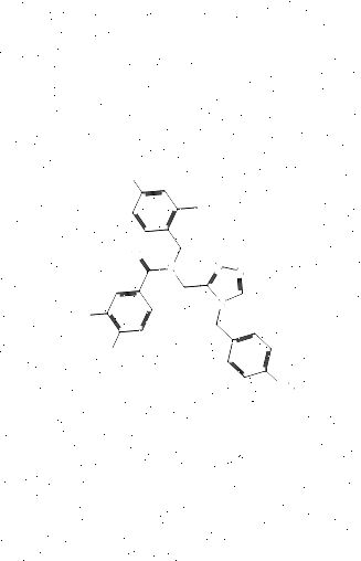 Cc1cc(C(=O)N(Cc2ccc(F)cc2F)Cc2nncn2Cc2ccc(C#N)cc2)ccc1Br